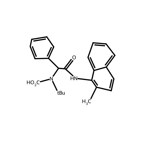 Cc1ccc2ccccc2c1NC(=O)C(c1ccccc1)N(C(=O)O)C(C)(C)C